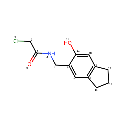 O=C(CCl)NCc1cc2c(cc1O)CCC2